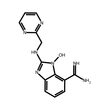 N=C(N)c1cccc2nc(NCc3ncccn3)n(O)c12